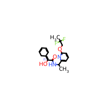 CC(NC(=O)/C(O)=C1\C=CC=CC1)c1cccc(OCC(C)(F)F)n1